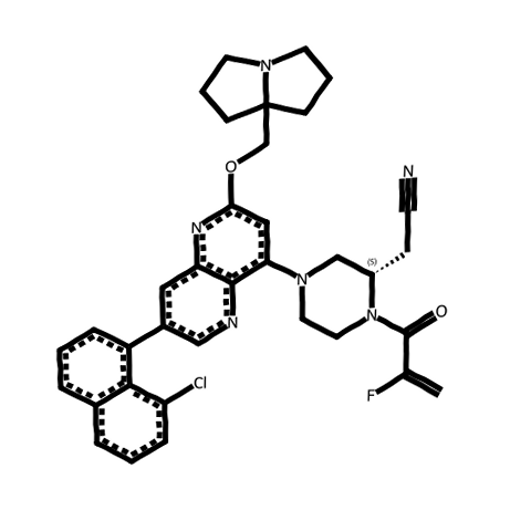 C=C(F)C(=O)N1CCN(c2cc(OCC34CCCN3CCC4)nc3cc(-c4cccc5cccc(Cl)c45)cnc23)C[C@@H]1CC#N